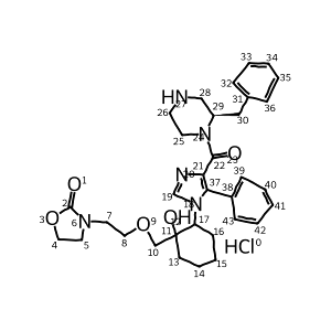 Cl.O=C1OCCN1CCOCC1(O)CCCCC1n1cnc(C(=O)N2CCNC[C@H]2Cc2ccccc2)c1-c1ccccc1